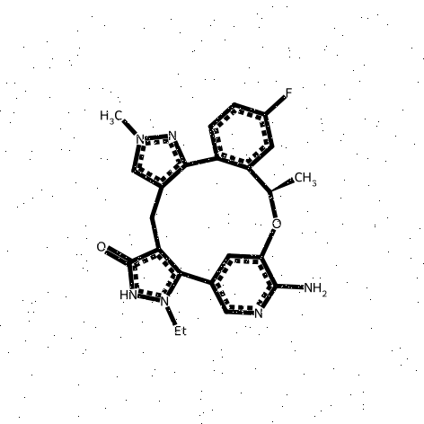 CCn1[nH]c(=O)c2c1-c1cnc(N)c(c1)O[C@H](C)c1cc(F)ccc1-c1nn(C)cc1C2